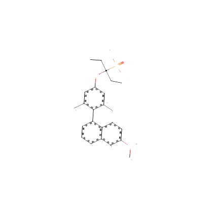 CCC(CC)(Oc1cc(C)c(-c2cccc3cc(OC)ccc23)c(C)c1)P(=O)(O)O